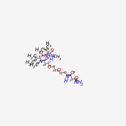 CNC(=O)[C@@H](NC(=O)C(C(C)C)N(C)C(=O)CCOCCOCCNC(=O)CON)C(C)C